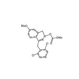 COC(=O)ON1Cc2cc(OC)ccc2C(Cc2c(Cl)cncc2Cl)=N1